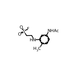 CC(=O)Nc1ccc(C)c(NCCS(=O)(=O)F)c1